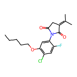 CCCCCOc1cc(N2C(=O)CC(=C(C)C)C2=O)c(F)cc1Cl